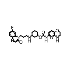 O=C(Nc1ccc2c(n1)NCCO2)O[C@@H]1CCCC(NCCCn2c(=O)cnc3ccc(F)cc32)C1